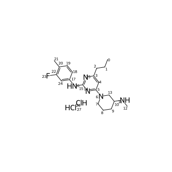 CCCc1cc(N2CCCC(NC)C2)nc(Nc2ccc(C)c(F)c2)n1.Cl.Cl